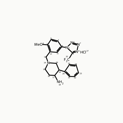 COc1ccc(-n2nnnc2C(F)(F)F)cc1CN1CCC(N)C(c2ccccc2)C1.Cl